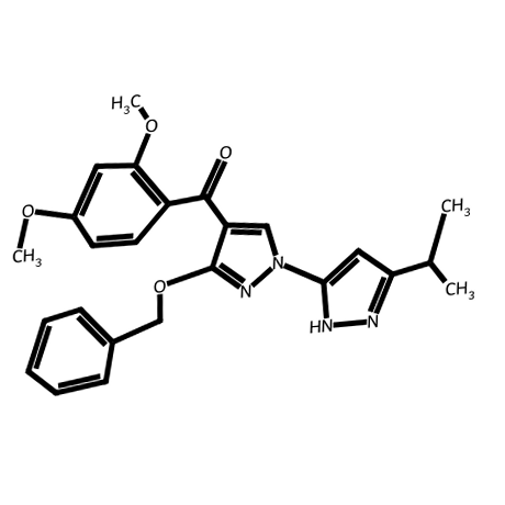 COc1ccc(C(=O)c2cn(-c3cc(C(C)C)n[nH]3)nc2OCc2ccccc2)c(OC)c1